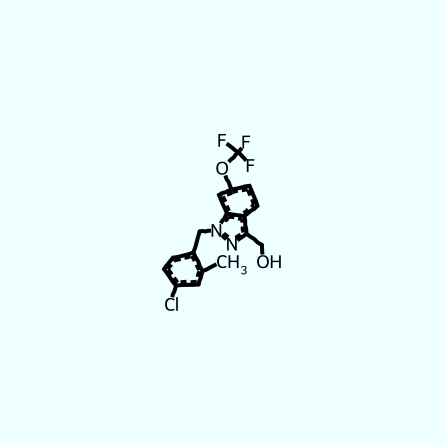 Cc1cc(Cl)ccc1Cn1nc(CO)c2ccc(OC(F)(F)F)cc21